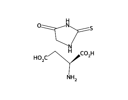 N[C@@H](CC(=O)O)C(=O)O.O=C1CNC(=S)N1